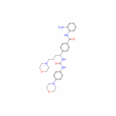 Nc1ccccc1NC(=O)c1ccc(C(CCCN2CCOCC2)NC(=O)Nc2ccc(N3CCOCC3)cc2)cc1